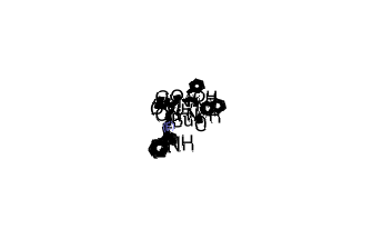 CC(C)(C)NC(=O)[C@@H]1C[C@@H]2CCCC[C@@H]2CN1C[C@@H](O)[C@H](Cc1ccccc1)NC(=O)[C@@H](NC(=O)/C=C/c1c[nH]c2ccccc12)C(C)(C)S(C)(=O)=O